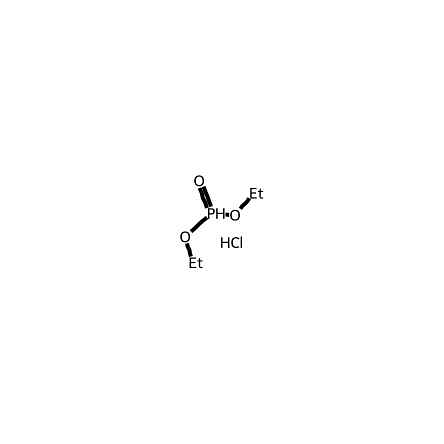 CCO[PH](=O)OCC.Cl